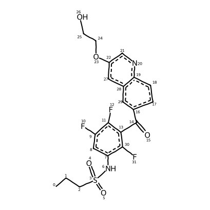 CCCS(=O)(=O)Nc1cc(F)c(F)c(C(=O)c2ccc3ncc(OCCO)cc3c2)c1F